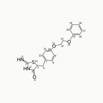 N=C1NC(=O)C(Cc2ccc(OCCOc3ccccc3)cc2)S1